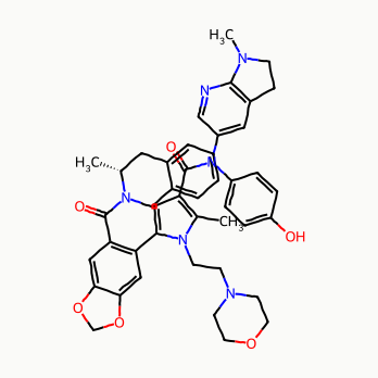 Cc1c(C(=O)N(c2ccc(O)cc2)c2cnc3c(c2)CCN3C)cc(-c2cc3c(cc2C(=O)N2Cc4ccccc4C[C@H]2C)OCO3)n1CCN1CCOCC1